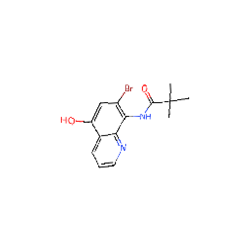 CC(C)(C)C(=O)Nc1c(Br)cc(O)c2cccnc12